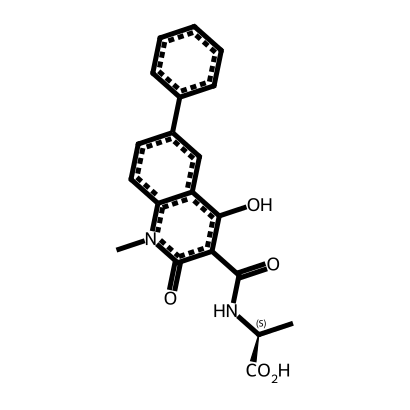 C[C@H](NC(=O)c1c(O)c2cc(-c3ccccc3)ccc2n(C)c1=O)C(=O)O